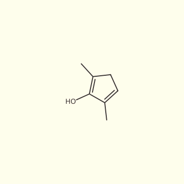 CC1=CCC(C)=C1O